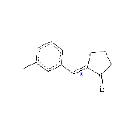 Cc1cccc(/C=C2\CCCC2=O)c1